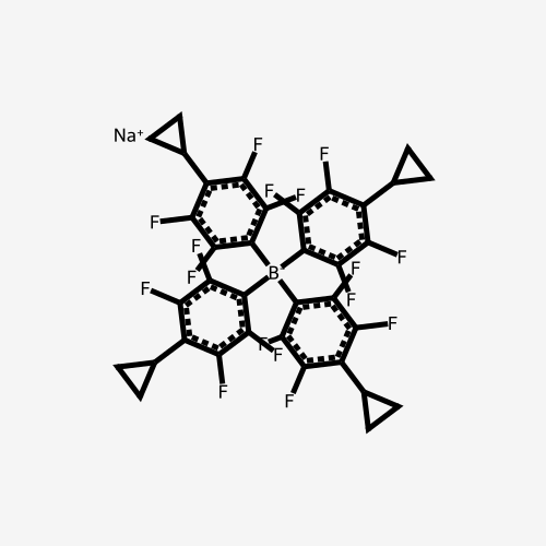 Fc1c(F)c([B-](c2c(F)c(F)c(C3CC3)c(F)c2F)(c2c(F)c(F)c(C3CC3)c(F)c2F)c2c(F)c(F)c(C3CC3)c(F)c2F)c(F)c(F)c1C1CC1.[Na+]